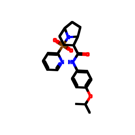 CC(C)Oc1ccc(NC(=O)C2CCC3CCC2N3S(=O)(=O)c2ccccn2)cc1